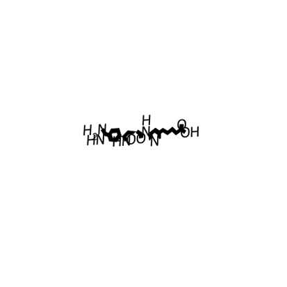 N=C(N)c1ccc([C@@H]2C[C@H](CC(=O)Nc3cncc(CCCCC(=O)O)c3)ON2)cc1